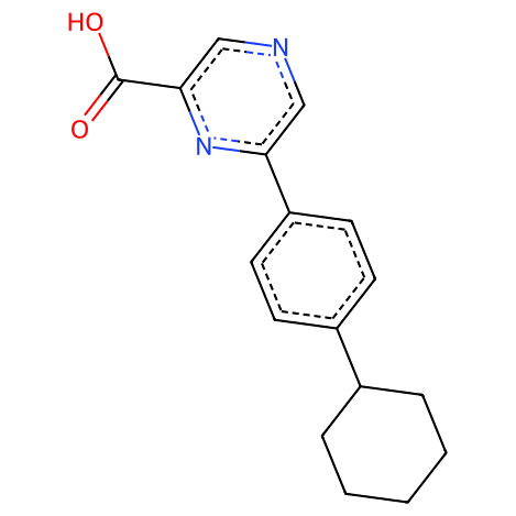 O=C(O)c1cncc(-c2ccc(C3CCCCC3)cc2)n1